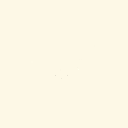 CC1CN(C(=O)C(C)(C)CCCOc2c(F)cccc2F)CCN1S(=O)(=O)c1cccc(F)c1